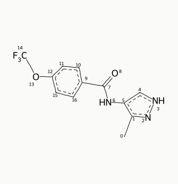 Cc1n[nH]cc1NC(=O)c1ccc(OC(F)(F)F)cc1